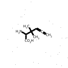 C=C=CC(C)(C)C(N)C(=O)O